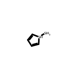 [SiH3][SiH]1C=CC=C1